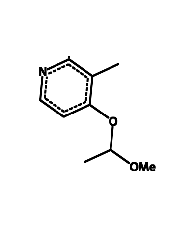 COC(C)Oc1ccn[c]c1C